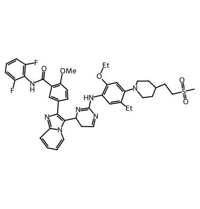 CCOc1cc(N2CCC(CCS(C)(=O)=O)CC2)c(CC)cc1NC1=NC(c2c(-c3ccc(OC)c(C(=O)Nc4c(F)cccc4F)c3)nc3ccccn23)CC=N1